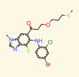 CSCCCOCCC(=O)c1cc2c(ncn2C)c(F)c1Nc1ccc(Br)cc1Cl